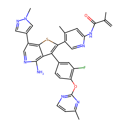 C=C(C)C(=O)Nc1cc(C)c(-c2sc3c(-c4cnn(C)c4)cnc(N)c3c2-c2ccc(Oc3nccc(C)n3)c(F)c2)cn1